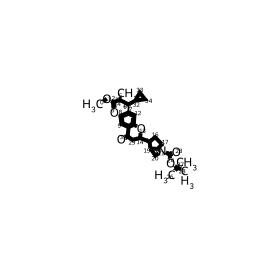 COC(=O)[C@@H](C)[C@H](c1ccc2c(c1)OC(C1CC3CC1CN3C(=O)OC(C)(C)C)CC2=O)C1CC1